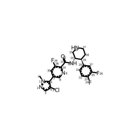 Cn1ncc(Cl)c1-c1cnc(C(=O)N[C@@H]2CNCC[C@H]2c2ccc(F)c(F)c2)c(F)c1